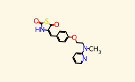 CN(CCOc1ccc(C=C2NC(=O)SC2=O)cc1)c1ccccn1